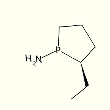 CC[C@@H]1CCCP1N